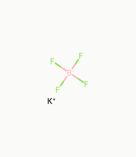 F[B-](F)(F)F.[K+]